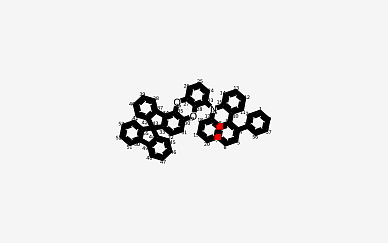 c1ccc(-c2ccccc2-c2ccccc2N(c2ccccc2)c2cccc3c2Oc2ccc4c(c2O3)-c2ccccc2C42c3ccccc3-c3ccccc32)cc1